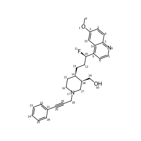 COc1ccc2nccc([C@H](F)CC[C@@H]3CCN(CC#Cc4ccccc4)C[C@@H]3CO)c2c1